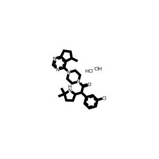 CC1CCc2ncnc(N3CCN(C(=O)C(c4cccc(Cl)c4)C4CCC(C)(C)N4)CC3)c21.Cl.Cl